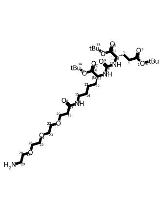 CC(C)(C)OC(=O)CC[C@H](NC(=O)N[C@@H](CCCCNC(=O)CCOCCOCCOCCN)C(=O)OC(C)(C)C)C(=O)OC(C)(C)C